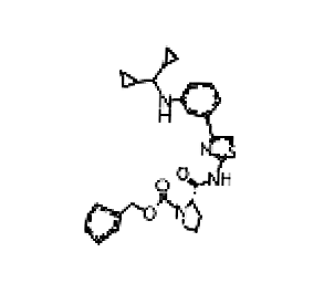 O=C(Nc1nc(-c2cccc(NC(C3CC3)C3CC3)c2)cs1)[C@@H]1CCCN1C(=O)OCc1ccccc1